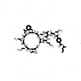 CCCC(C)OC(=O)c1ccc(C(=O)N[C@@H](CCN)C(=O)N[C@H](C(=O)N[C@@H](CCN)C(=O)N[C@H]2CCNC(=O)[C@H](C(C)O)NC(=O)[C@H](CCN)NC(=O)[C@H](CCN)NC(=O)[C@H](CC(C)C)NC(=O)[C@@H](Cc3ccccc3)NC(=O)[C@H](CCN)NC2=O)C(C)O)cc1